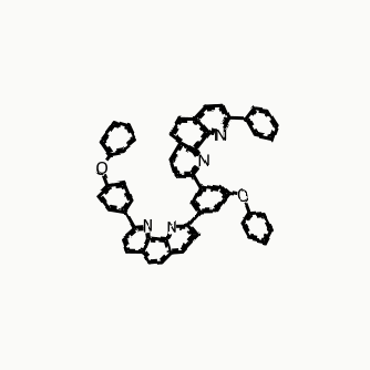 c1ccc(Oc2ccc(-c3ccc4ccc5ccc(-c6cc(Oc7ccccc7)cc(-c7ccc8ccc9ccc(-c%10ccccc%10)nc9c8n7)c6)nc5c4n3)cc2)cc1